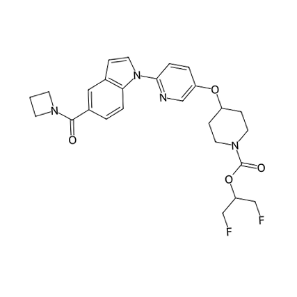 O=C(OC(CF)CF)N1CCC(Oc2ccc(-n3ccc4cc(C(=O)N5CCC5)ccc43)nc2)CC1